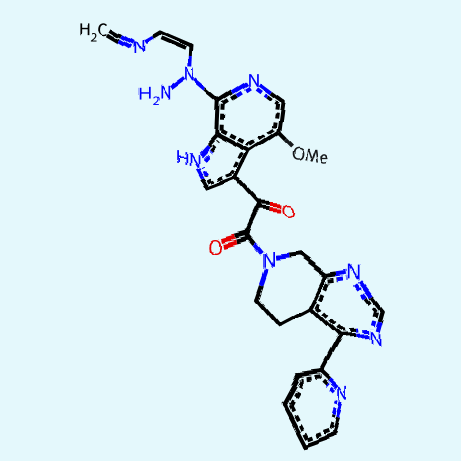 C=N/C=C\N(N)c1ncc(OC)c2c(C(=O)C(=O)N3CCc4c(ncnc4-c4ccccn4)C3)c[nH]c12